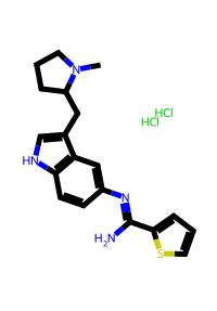 CN1CCCC1Cc1c[nH]c2ccc(N=C(N)c3cccs3)cc12.Cl.Cl